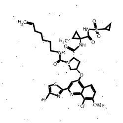 C=CCCCCCNC(=O)N1C[C@H](Oc2cc(-c3nc(C(C)C)cs3)nc3c(Cl)c(OC)ccc23)C[C@H]1C(=O)N[C@]1(C(=O)NS(=O)(=O)C2CC2)C[C@H]1C